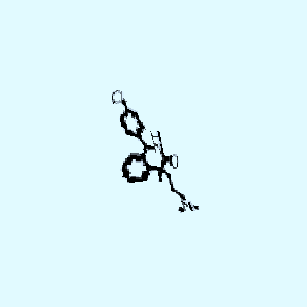 CN(C)CCCC1(C)C(=O)NC(c2ccc(Cl)cc2)c2ccccc21